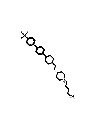 CCCCC[Si@H]1CC[C@H](CCC2CCC(c3ccc(-c4ccc(C(F)(F)F)cc4)cc3)CC2)CC1